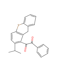 CC(C)c1ccc2c(c1C(=O)C(=O)c1ccccc1)Cc1ccccc1S2